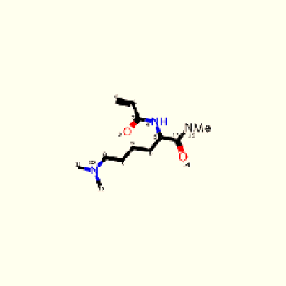 C=CC(=O)NC(CCCCN(C)C)C(=O)NC